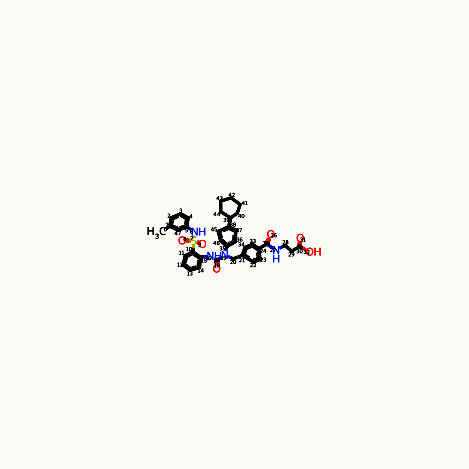 Cc1cccc(NS(=O)(=O)c2ccccc2NC(=O)N(Cc2ccc(C(=O)NCCC(=O)O)cc2)c2ccc(C3CCCCC3)cc2)c1